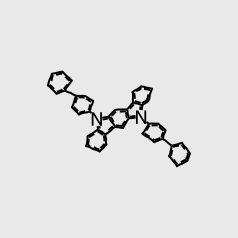 c1ccc(-c2ccc(-n3c4ccccc4c4cc5c(cc43)c3ccccc3n5-c3ccc(-c4ccccc4)cc3)cc2)cc1